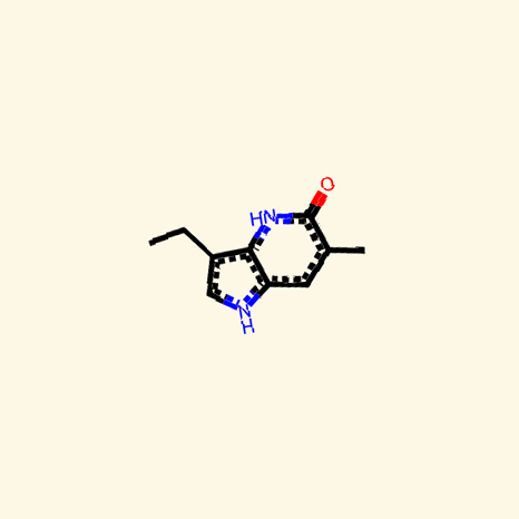 CCc1c[nH]c2cc(C)c(=O)[nH]c12